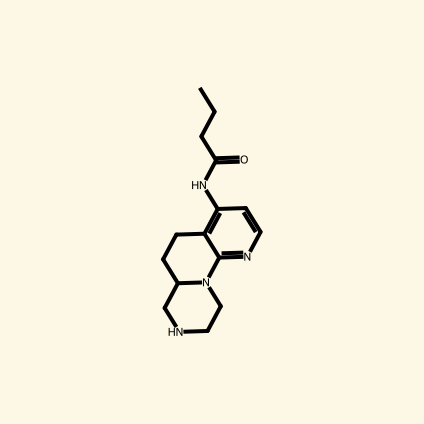 CCCC(=O)Nc1ccnc2c1CCC1CNCCN21